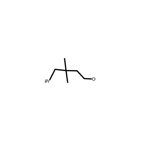 CC(C)CC(C)(C)CC[O]